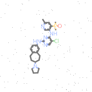 Cc1cc(P(C)(C)=O)c(Nc2nc(Nc3ccc4c(c3)CCC(N3CCCC3)CC4)ncc2Cl)cn1